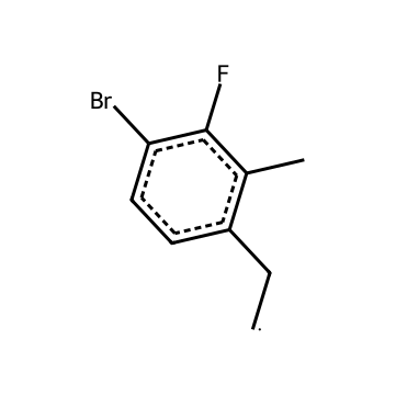 [CH2]Cc1ccc(Br)c(F)c1C